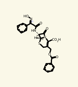 O=C(O)C1=C(COC(=O)c2ccccc2)CS[C@@H]2[C@H](NC(=O)/C(=N/O)c3ccccc3)C(=O)N12